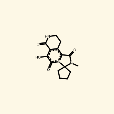 CN1C(=O)c2c3c(c(O)c(=O)n2C12CCCC2)C(=O)NCC3